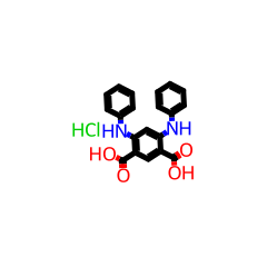 Cl.O=C(O)c1cc(C(=O)O)c(Nc2ccccc2)cc1Nc1ccccc1